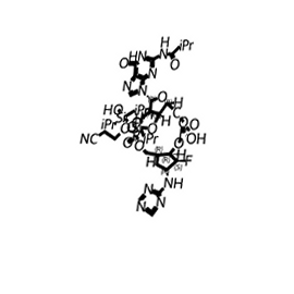 CC(C)C(=O)Nc1nc2c(ncn2[C@@H]2O[C@@H]3COP(=O)(O)O[C@@H]4[C@@H](CO[P@@](=O)(OCCC#N)O[C@@H]2[C@@H]3O[Si](O[Si](O)(C(C)C)C(C)C)(C(C)C)C(C)C)C[C@@H](Nc2ncncn2)[C@@H]4F)c(=O)[nH]1